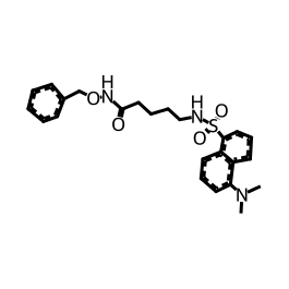 CN(C)c1cccc2c(S(=O)(=O)NCCCCC(=O)NOCc3ccccc3)cccc12